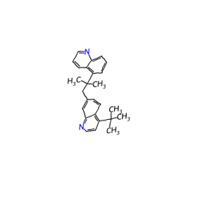 CC(C)(C)c1ccnc2cc(CC(C)(C)c3cccc4ncccc34)ccc12